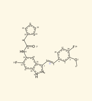 COc1cc(/C=C/c2n[nH]c3cc(F)c(NC(=O)Cc4cccs4)cc23)ccc1F